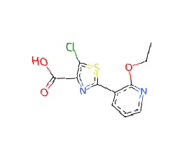 CCOc1ncccc1-c1nc(C(=O)O)c(Cl)s1